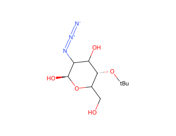 CC(C)(C)O[C@@H]1C(CO)O[C@@H](O)C(N=[N+]=[N-])C1O